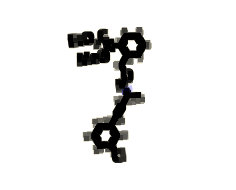 CCOC(=O)N(OC)c1ccccc1CO/N=C(\C)C#Cc1cccc(Cl)c1